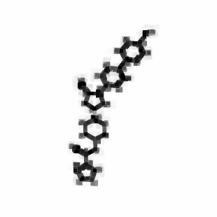 O=C(CC1CCN([C@@H]2CC(=O)N(c3ccc(-c4ccc(F)cc4)cc3)C2)CC1)c1ccco1